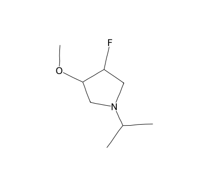 COC1CN(C(C)C)CC1F